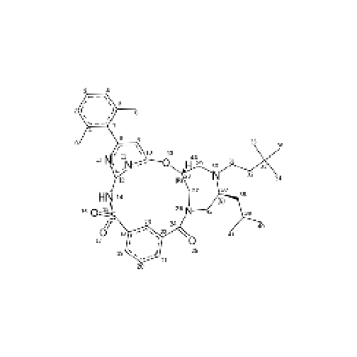 Cc1cccc(C)c1-c1cc2nc(n1)NS(=O)(=O)c1cccc(c1)C(=O)N1C[C@@H](CN(CCC(C)(C)C)[C@@H](CC(C)C)C1)O2